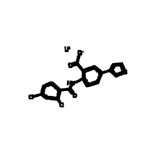 O=C(Nc1ccc(-c2ccsc2)cc1C(=O)[O-])c1ccc(Cl)cc1Cl.[Li+]